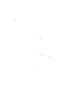 C[Si](C)(C)C#Cc1cc2cc(C(=O)N[C@@H](Cc3ccccc3)C(=O)N3CC(O)C3)[nH]c2s1